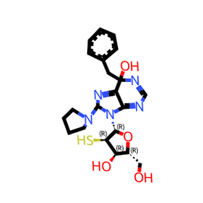 OC[C@H]1O[C@@H](N2C3=NC=NC(O)(Cc4ccccc4)C3=NC2N2CCCC2)[C@H](S)[C@@H]1O